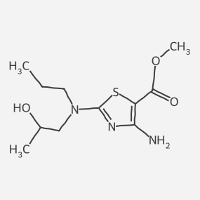 CCCN(CC(C)O)c1nc(N)c(C(=O)OC)s1